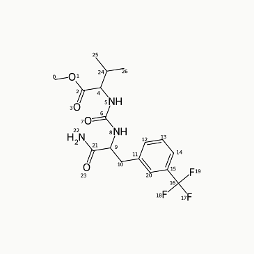 COC(=O)C(NC(=O)NC(Cc1cccc(C(F)(F)F)c1)C(N)=O)C(C)C